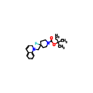 CC(C)(C)OC(=O)N1CCC(F)(CN2CC=Cc3ccccc32)CC1